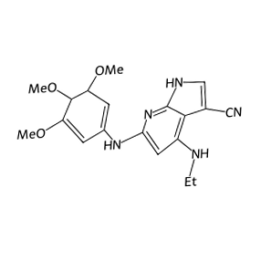 CCNc1cc(NC2=CC(OC)C(OC)C(OC)=C2)nc2[nH]cc(C#N)c12